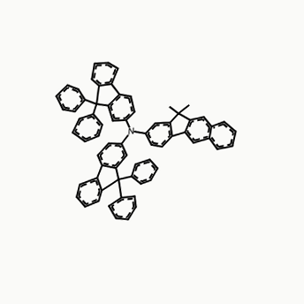 CC1(C)c2cc(N(c3ccc4c(c3)C(c3ccccc3)(c3ccccc3)c3ccccc3-4)c3ccc4c(c3)C(c3ccccc3)(c3ccccc3)c3ccccc3-4)ccc2-c2cc3ccccc3cc21